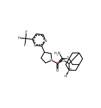 NC(=O)[C@]12CC3CC(C1)C(OC(=O)N1CCC(c4nccc(C(F)(F)F)n4)C1)[C@H](C3)C2